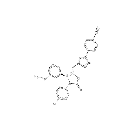 COc1cccc([C@H]2[C@H](Cn3cc(-c4ccc(C#N)cc4)nn3)OC(=O)N2c2ccc(Cl)cc2)c1